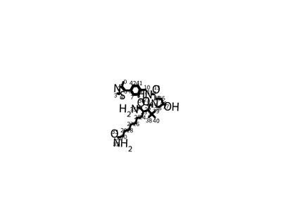 Cc1ncsc1-c1ccc(CNC(=O)[C@@H]2C[C@@H](O)CN2C(=O)C(C(CCCCCCCC(N)=O)C(N)=O)C(C)(C)C)cc1